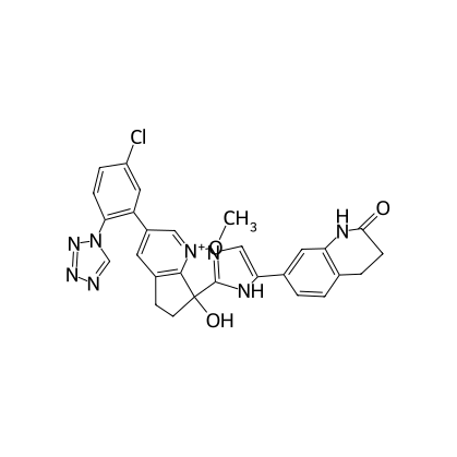 CO[n+]1cc(-c2cc(Cl)ccc2-n2cnnn2)cc2c1C(O)(c1ncc(-c3ccc4c(c3)NC(=O)CC4)[nH]1)CC2